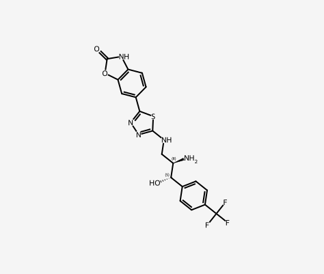 N[C@H](CNc1nnc(-c2ccc3[nH]c(=O)oc3c2)s1)[C@@H](O)c1ccc(C(F)(F)F)cc1